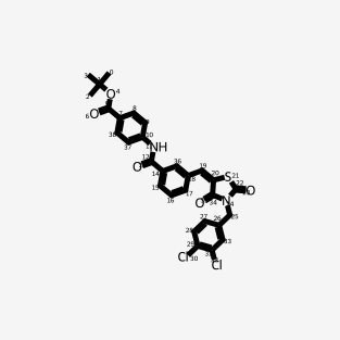 CC(C)(C)OC(=O)c1ccc(NC(=O)c2cccc(C=C3SC(=O)N(Cc4ccc(Cl)c(Cl)c4)C3=O)c2)cc1